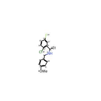 CCC(NCc1ccc(OC)cc1)c1cc(F)ccc1Cl